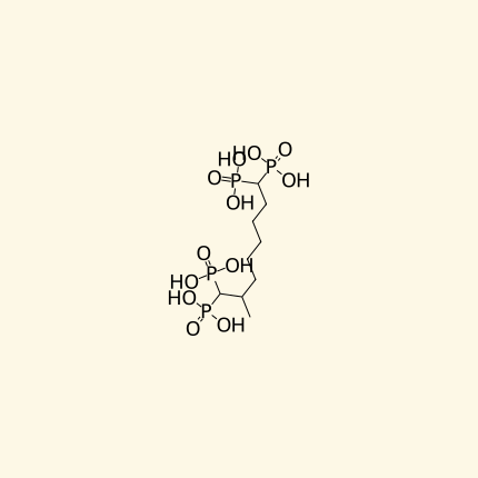 CC(CCCCCC(P(=O)(O)O)P(=O)(O)O)C(P(=O)(O)O)P(=O)(O)O